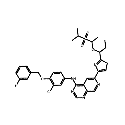 CCC(OC(C)S(=O)(=O)C(C)C)c1nc(-c2cc3c(Nc4ccc(OCc5cccc(F)c5)c(Cl)c4)ncnc3cn2)cs1